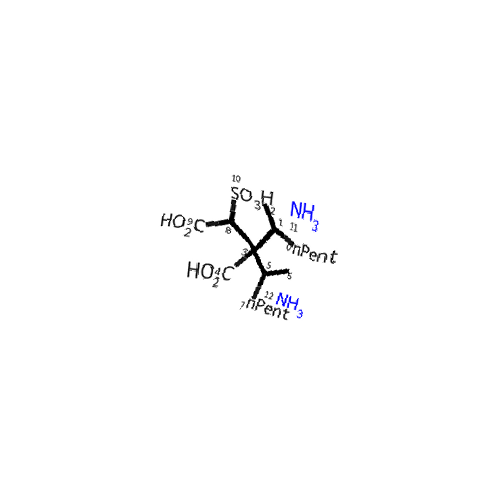 CCCCCC(C)C(C(=O)O)(C(C)CCCCC)C(C(=O)O)S(=O)(=O)O.N.N